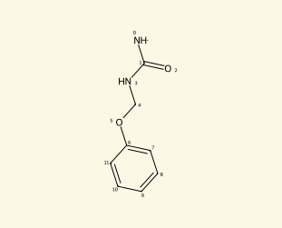 [NH]C(=O)NCOc1ccccc1